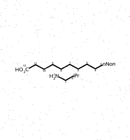 CC(C)CN.CCCCCCCCCCCCCCCCCC(=O)O